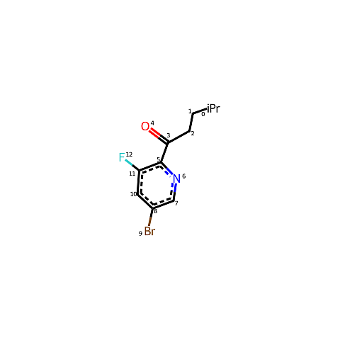 CC(C)CCC(=O)c1ncc(Br)cc1F